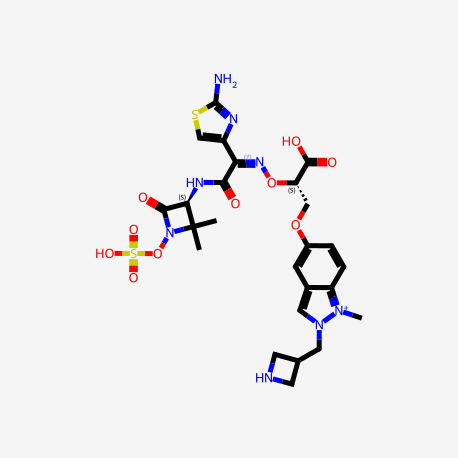 C[n+]1c2ccc(OC[C@H](O/N=C(\C(=O)N[C@@H]3C(=O)N(OS(=O)(=O)O)C3(C)C)c3csc(N)n3)C(=O)O)cc2cn1CC1CNC1